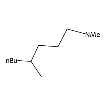 CCCCC(C)CCCNC